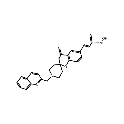 O=C(C=Cc1ccc2c(c1)C(=O)CC1(CCN(Cc3ccc4ccccc4n3)CC1)O2)NO